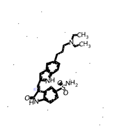 CCN(CC)CCCc1ccc2[nH]c(/C=C3/C(=O)Nc4ccc(S(N)(=O)=O)cc43)cc2c1